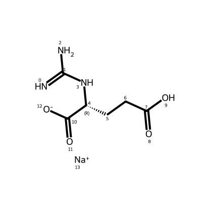 N=C(N)N[C@H](CCC(=O)O)C(=O)[O-].[Na+]